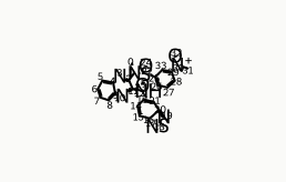 CN(c1nc2ccccc2nc1Nc1ccc2nsnc2c1)S(=O)(=O)c1cccc([N+](C)=O)c1